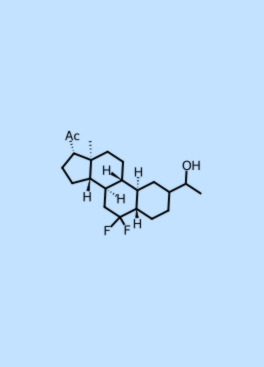 CC(=O)[C@H]1CC[C@H]2[C@@H]3CC(F)(F)[C@H]4CCC(C(C)O)C[C@@H]4[C@H]3CC[C@]12C